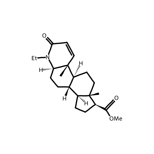 CCN1C(=O)C=C[C@]2(C)[C@H]3CC[C@]4(C)[C@@H](C(=O)OC)CC[C@H]4[C@@H]3CC[C@@H]12